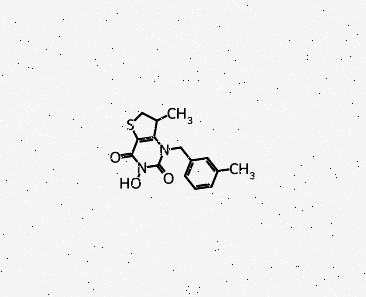 Cc1cccc(Cn2c3c(c(=O)n(O)c2=O)SCC3C)c1